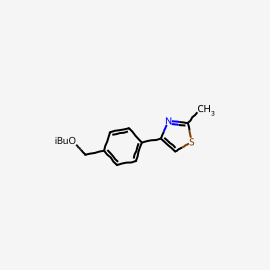 Cc1nc(-c2ccc(COCC(C)C)cc2)cs1